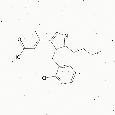 CCCCc1ncc(C(C)=CC(=O)O)n1Cc1ccccc1Cl